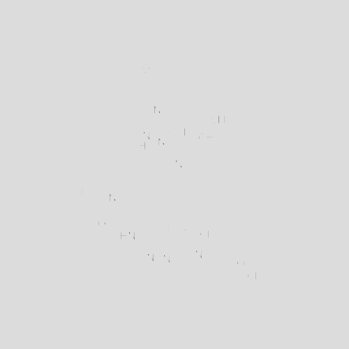 COCCN1CCn2nc(Nc3cc(-c4ccnc(N(C)/N=C\n5c(C=O)cc6c5CC(C)(C)C6)c4CO)cn(C)c3=O)cc2C1(C)C